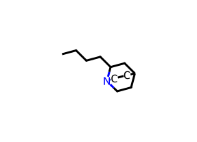 CCCCC1CC2CCN1CC2